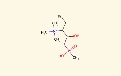 CC(C)CC([C@@H](O)CP(C)(=O)O)[N+](C)(C)C